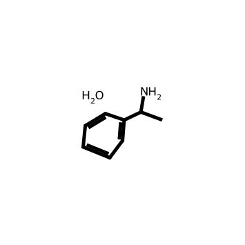 CC(N)c1ccccc1.O